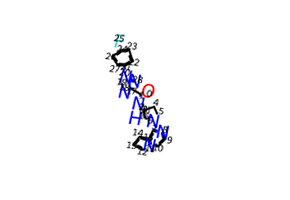 O=C(N[C@H]1CCN(c2nccn3cccc23)C1)c1ncn(-c2ccc(F)cc2)n1